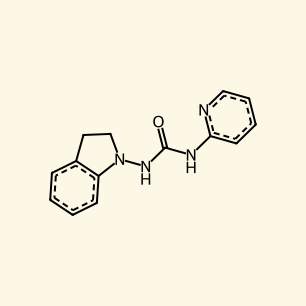 O=C(Nc1ccccn1)NN1CCc2ccccc21